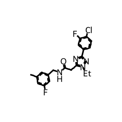 CCn1nc(-c2ccc(Cl)c(F)c2)nc1CC(=O)NCc1cc(C)cc(F)c1